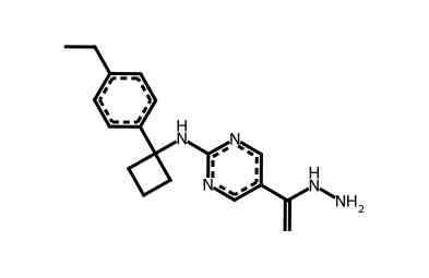 C=C(NN)c1cnc(NC2(c3ccc(CC)cc3)CCC2)nc1